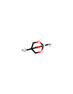 CC(=O)[B-]12OCC(C)(CO1)CO2